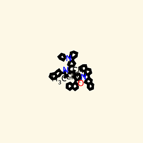 C=C(C)C(/N=C(\C(C)=C(/C)c1cc(-n2c3cc4ccccc4cc3c3ccc4ccccc4c32)c2oc3ccc4ccccc4c3c2c1)c1ccc2c3ccccc3n(-c3ccccc3)c2c1)c1ccc2ccccc2c1